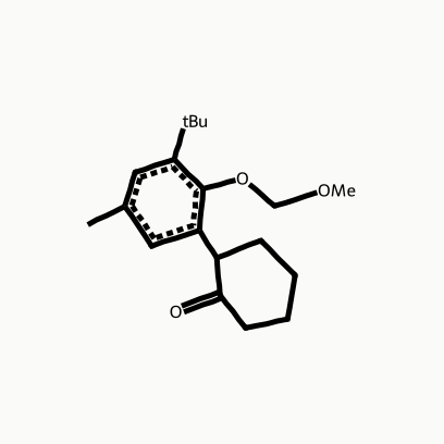 COCOc1c(C2CCCCC2=O)cc(C)cc1C(C)(C)C